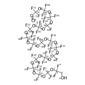 OCC(F)(F)OC(F)(F)OC(F)(F)OC(F)(F)OC(F)(F)OC(F)(F)OC(F)(F)OC(F)(F)OC(F)(F)OC(F)(F)OC(F)(F)OC(F)(F)OC(F)(F)OC(F)(F)OC(F)(F)OC(F)(F)OC(F)(F)OC(F)(F)OC(F)(F)F